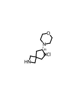 C1CN([C@@H]2CCC3(CNC3)C2)CCO1.Cl